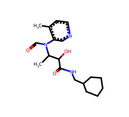 Cc1ccncc1N(C=O)C(C)C(O)C(=O)NCC1CCCCC1